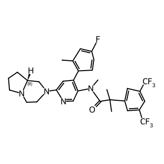 Cc1cc(F)ccc1-c1cc(N2CCN3CCC[C@@H]3C2)ncc1N(C)C(=O)C(C)(C)c1cc(C(F)(F)F)cc(C(F)(F)F)c1